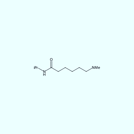 CNCCCCCC(=O)NC(C)C